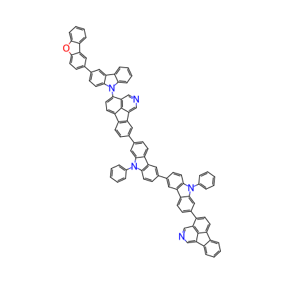 c1ccc(-n2c3ccc(-c4ccc5c(c4)c4ccc(-c6ccc7c8c(cncc68)-c6ccccc6-7)cc4n5-c4ccccc4)cc3c3ccc(-c4ccc5c(c4)-c4cncc6c(-n7c8ccccc8c8cc(-c9ccc%10oc%11ccccc%11c%10c9)ccc87)ccc-5c46)cc32)cc1